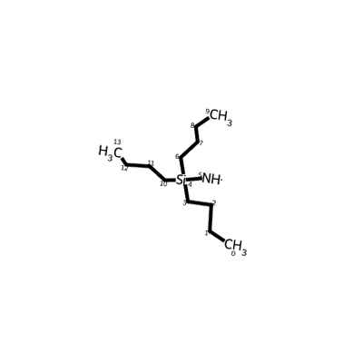 CCCC[Si]([NH])(CCCC)CCCC